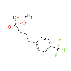 CO[Si](O)(O)CCCc1ccc(C(F)(F)F)cc1